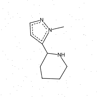 Cn1nccc1C1CCCCN1